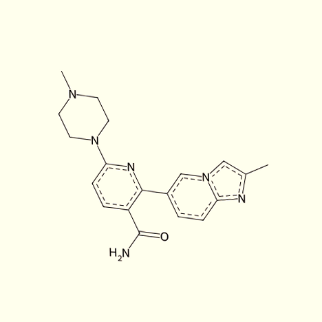 Cc1cn2cc(-c3nc(N4CCN(C)CC4)ccc3C(N)=O)ccc2n1